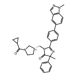 Cn1ncc2cc(-c3ccc(C4=NC(C)(c5ccccc5)C(=O)N4C[C@@H]4CCN(C(=O)C5CC5)C4)cc3)ccc21